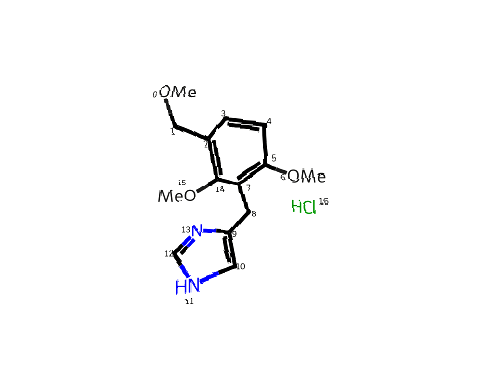 COCc1ccc(OC)c(Cc2c[nH]cn2)c1OC.Cl